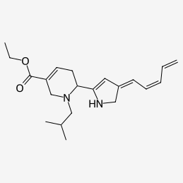 C=C/C=C\C=C1\C=C(C2CC=C(C(=O)OCC)CN2CC(C)C)NC1